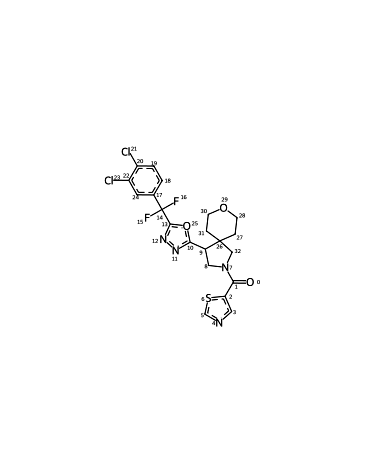 O=C(c1cncs1)N1CC(c2nnc(C(F)(F)c3ccc(Cl)c(Cl)c3)o2)C2(CCOCC2)C1